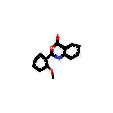 COc1ccccc1-c1nc2ccccc2c(=O)o1